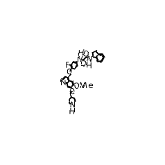 COc1cc2c(COc3ccc(NC(=O)C(=O)NC4CCc5ccccc54)cc3F)ccnc2cc1OCC1CCNCC1